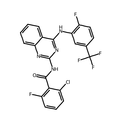 O=C(Nc1nc(Nc2cc(C(F)(F)F)ccc2F)c2ccccc2n1)c1c(F)cccc1Cl